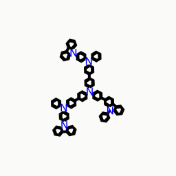 c1ccc(N(c2ccc(-c3ccc(N(c4ccc(-c5ccc(N(c6ccccc6)c6ccc(-n7c8ccccc8c8ccccc87)cc6)cc5)cc4)c4ccc(-c5ccc6c7ccccc7n(-c7ccccc7)c6c5)cc4)cc3)cc2)c2ccc(-n3c4ccccc4c4ccccc43)cc2)cc1